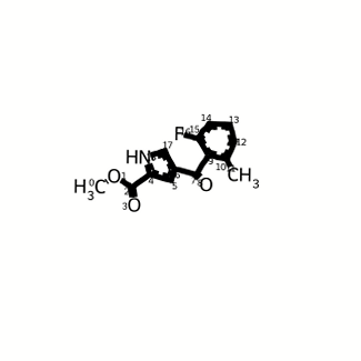 COC(=O)c1cc(C(=O)c2c(C)cccc2F)c[nH]1